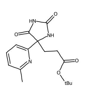 Cc1cccc(C2(CCC(=O)OC(C)(C)C)NC(=O)NC2=O)n1